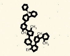 CCc1cccc(-c2ccc(C)c(-c3ccccc3C)c2)c1-c1cccc(-c2ccc(C)c(-c3cc(-c4ccc5c(c4)c4ccccc4n5-c4ccccc4)ccc3C)c2)c1